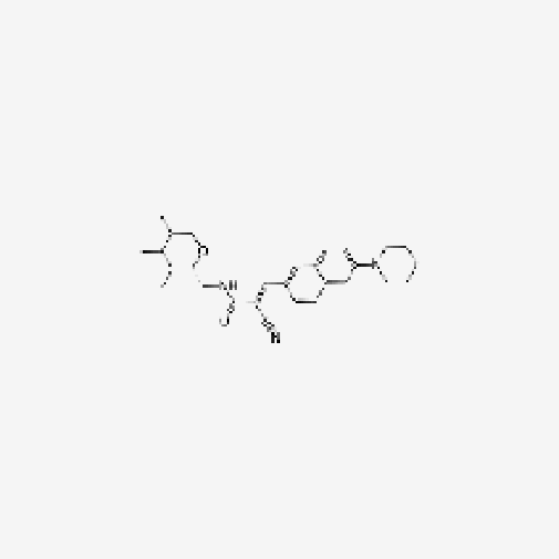 CC1CO[C@H](CNC(=O)/C(C#N)=C/c2ccc3cc(N4CCCCC4)ccc3c2)C(C)C1C